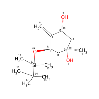 C=C1[C@H](O)C[C@@](C)(O)C[C@H]1O[Si](C)(C)C(C)(C)C